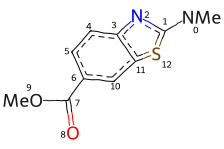 CNc1nc2ccc(C(=O)OC)cc2s1